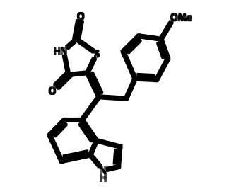 COc1ccc(CC(=C2SC(=O)NC2=O)c2cccc3[nH]ccc23)cc1